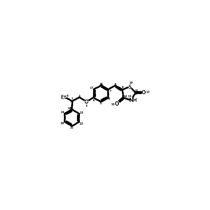 CCC(COc1ccc(C=C2SC(=O)NC2=O)cc1)c1ccccc1